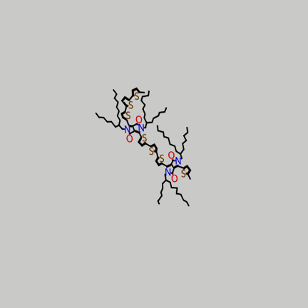 CCCCCCCCC(CCCCCC)CN1C(=O)C2=C(c3ccc(-c4ccc(-c5ccc(C6=C7C(=O)N(CC(CCCCCC)CCCCCCCC)C(c8ccc(-c9ccc(-c%10ccc(C)s%10)s9)s8)=C7C(=O)N6CC(CCCCCC)CCCCCCCC)s5)s4)s3)N(CC(CCCCCC)CCCCCCCC)C(=O)C2=C1c1ccc(C)s1